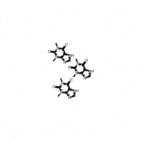 Cn1c(=O)c2[nH]cnc2n(C)c1=O.Cn1c(=O)c2[nH]cnc2n(C)c1=O.Cn1c(=O)c2[nH]cnc2n(C)c1=O